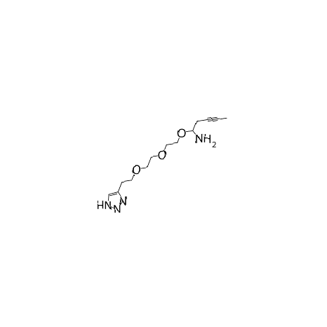 CC#CCC(N)OCCOCCOCCc1c[nH]nn1